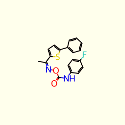 CC(=NOC(=O)Nc1ccc(F)cc1)c1ccc(-c2ccccc2)s1